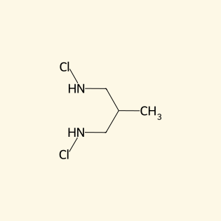 CC(CNCl)CNCl